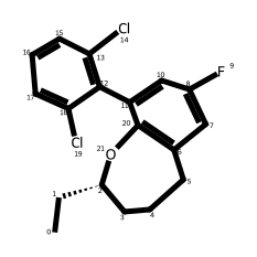 CC[C@H]1CCCc2cc(F)cc(-c3c(Cl)cccc3Cl)c2O1